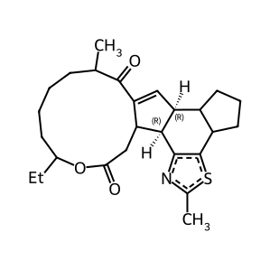 CCC1CCCCC(C)C(=O)C2=C[C@H]3C4CCCC4c4sc(C)nc4[C@H]3C2CC(=O)O1